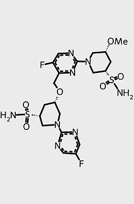 CO[C@@H]1C[C@H](S(N)(=O)=O)CN(c2ncc(F)c(CO[C@H]3C[C@@H](S(N)(=O)=O)CN(c4ncc(F)cn4)C3)n2)C1